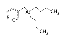 CCC[CH2][Al]([CH2]CCC)[CH2]c1ccccc1